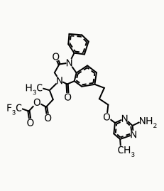 Cc1cc(OCCCc2ccc3c(c2)C(=O)N(C(C)CC(=O)OC(=O)C(F)(F)F)CC(=O)N3c2ccccc2)nc(N)n1